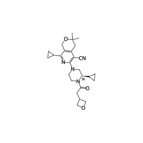 CC1(C)Cc2c(C#N)c(N3CCN(C(=O)CC4COC4)[C@H](C4CC4)C3)nc(C3CC3)c2CO1